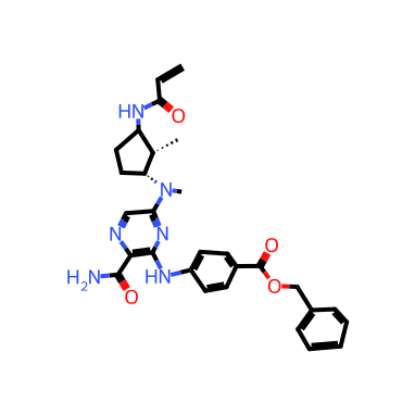 C=CC(=O)NC1CC[C@@H](N(C)c2cnc(C(N)=O)c(Nc3ccc(C(=O)OCc4ccccc4)cc3)n2)[C@H]1C